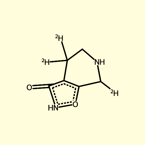 [2H]C1NCC([2H])([2H])c2c1o[nH]c2=O